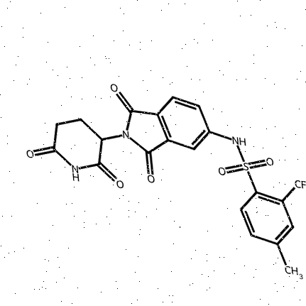 Cc1ccc(S(=O)(=O)Nc2ccc3c(c2)C(=O)N(C2CCC(=O)NC2=O)C3=O)c(C(F)(F)F)c1